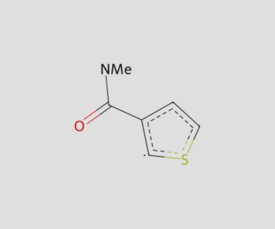 CNC(=O)c1[c]scc1